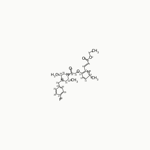 CCOC(=O)C=Cc1nc(C)ccc1OCC(=O)N1C[C@H](C)N(Cc2ccc(F)cc2)C[C@H]1C